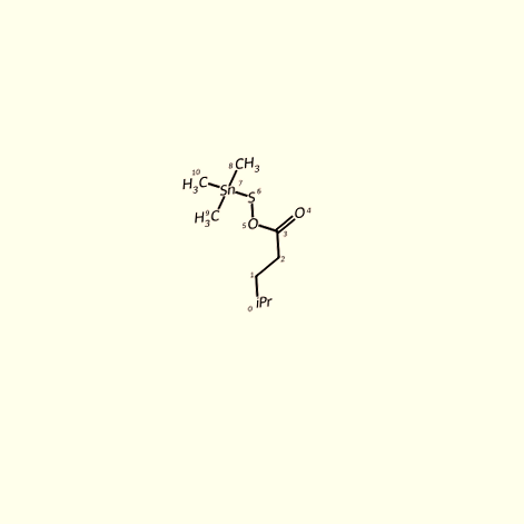 CC(C)CCC(=O)O[S][Sn]([CH3])([CH3])[CH3]